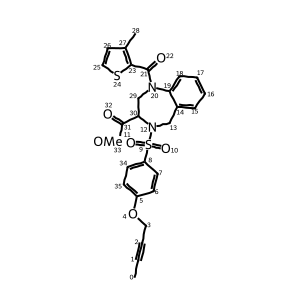 CC#CCOc1ccc(S(=O)(=O)N2Cc3ccccc3N(C(=O)c3sccc3C)CC2C(=O)OC)cc1